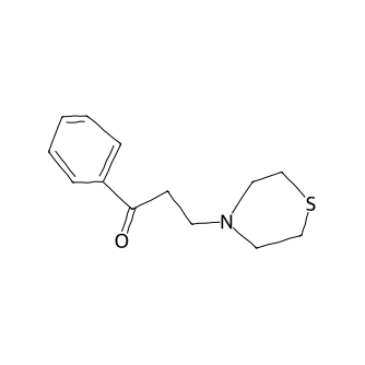 O=C(CCN1CCSCC1)c1ccccc1